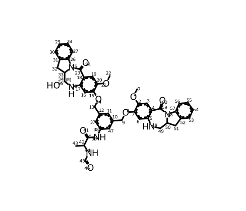 COc1cc2c(cc1OCc1cc(COc3cc4c(cc3OC)C(=O)N3c5ccccc5CC3[C@@H](O)N4)cc(NC(=O)C(C)NC=O)c1)NCC1Cc3ccccc3N1C2=O